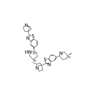 C[C@H]1CCC(c2ccc3sc(C45CCN(C4)C(C[C@H]4CC[C@H](c6ccc7sc(C89CCN(CC8)C9)nc7c6)NC4)C5)nc3c2)=NC1